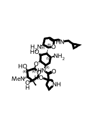 CN[C@@H]1[C@@H](O)[C@@H](O[C@H]2[C@H](NC(=O)C3(O)CCNC3)C[C@H](N)C([C@H]3OC(CNCC4CC4)=CC[C@H]3N)[C@@H]2O)OC[C@]1(C)O